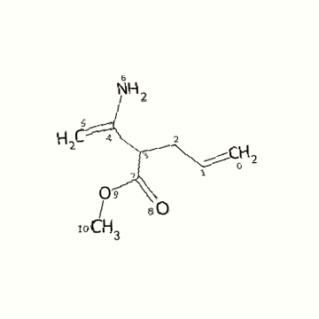 C=CCC(C(=C)N)C(=O)OC